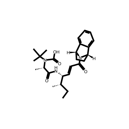 CC[C@H](C)[C@@H](C=CC(=O)N1[C@@H]2CC[C@H]1c1ccccc12)NC(=O)[C@H](C)N(C(=O)O)C(C)(C)C